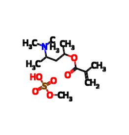 C=C(C)C(=O)OC(C)CC(C)N(C)C.COS(=O)(=O)O